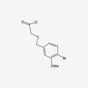 COc1cc(CSCC(=O)Cl)ccc1Br